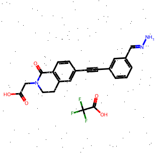 NN=Cc1cccc(C#Cc2ccc3c(c2)CCN(CC(=O)O)C3=O)c1.O=C(O)C(F)(F)F